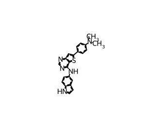 CN(C)c1ccc(-c2cc3ncnc(Nc4ccc5[nH]ccc5c4)c3s2)cc1